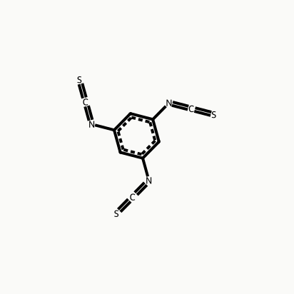 S=C=Nc1cc(N=C=S)cc(N=C=S)c1